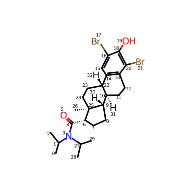 CC(C)N(C(=O)[C@H]1CC[C@H]2[C@@H]3CCc4c(cc(Br)c(O)c4Br)[C@H]3CC[C@]12C)C(C)C